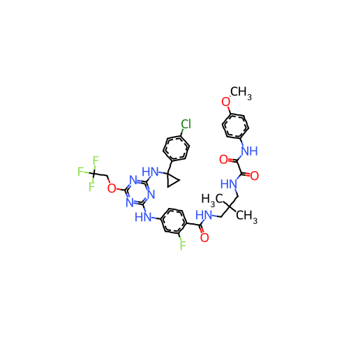 COc1ccc(NC(=O)C(=O)NCC(C)(C)CNC(=O)c2ccc(Nc3nc(NC4(c5ccc(Cl)cc5)CC4)nc(OCC(F)(F)F)n3)cc2F)cc1